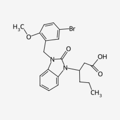 CCCC(CC(=O)O)n1c(=O)n(Cc2cc(Br)ccc2OC)c2ccccc21